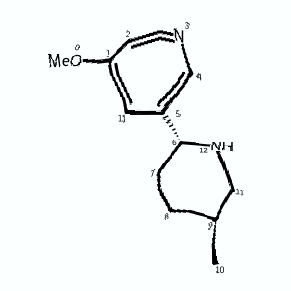 COc1cncc([C@H]2CC[C@H](C)CN2)c1